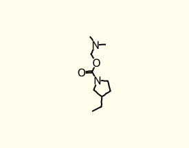 CCC1CCN(C(=O)OCN(C)C)C1